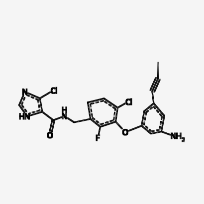 CC#Cc1cc(N)cc(Oc2c(Cl)ccc(CNC(=O)c3[nH]cnc3Cl)c2F)c1